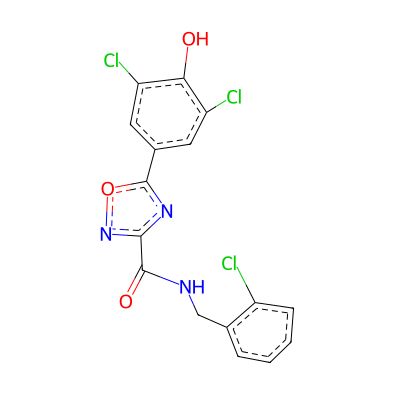 O=C(NCc1ccccc1Cl)c1noc(-c2cc(Cl)c(O)c(Cl)c2)n1